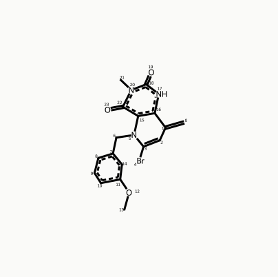 C=C1C=C(Br)N(Cc2cccc(OC)c2)c2c1[nH]c(=O)n(C)c2=O